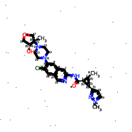 C[C@@H]1[C@H](C(=O)Nc2cc3cc(N4CCN([C@@]5(C)COC[C@H]5O)CC4)c(Cl)cc3cn2)[C@H]1c1ccn(C)n1